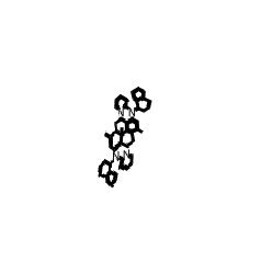 CC1=CC(N(c2ccccn2)C2CC=Cc3ccccc32)=C2CCc3c(C)cc(N(c4ccccn4)C4CC=Cc5ccccc54)c4c3C2(C)C1CC4